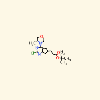 C[C@@H]1COCCN1c1nc(Cl)nc2c1CC(CCC(=O)OC(C)(C)C)C2